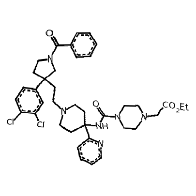 CCOC(=O)CN1CCN(C(=O)NC2(c3ccccn3)CCN(CCC3(c4ccc(Cl)c(Cl)c4)CCN(C(=O)c4ccccc4)C3)CC2)CC1